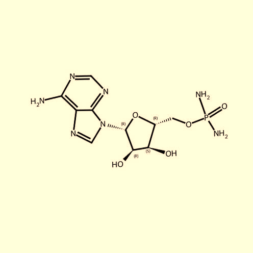 Nc1ncnc2c1ncn2[C@@H]1O[C@H](COP(N)(N)=O)[C@@H](O)[C@H]1O